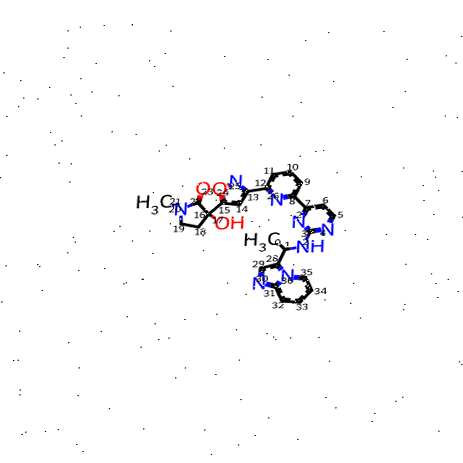 CC(Nc1nccc(-c2cccc(-c3cc(C4(O)CCN(C)C4=O)on3)n2)n1)c1cnc2ccccn12